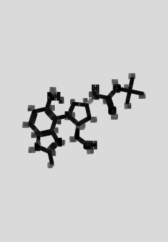 Cc1nc2c(N3C[C@H](NC(=O)OC(C)(C)C)C[C@H]3CO)c(N)ccc2s1